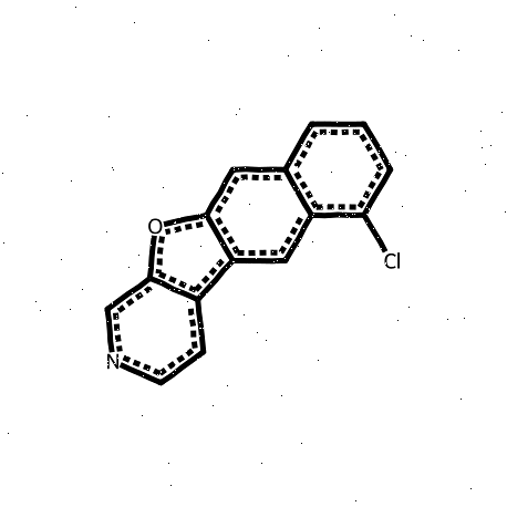 Clc1cccc2cc3oc4cnccc4c3cc12